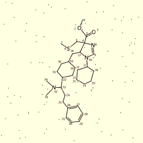 COC(=O)C1(CSC)N=CN(C2CCCCC2)C1CC1CCC(C(CCc2ccccc2)N(C)C)CC1